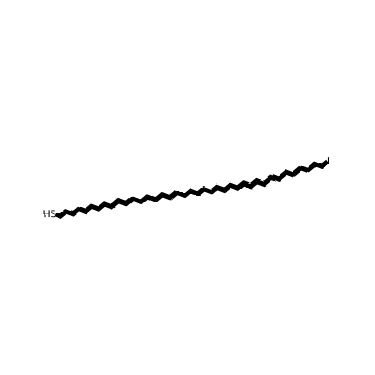 SCCCCCCCCCCCCCCCCCCCCCCCCCCCCCCCCCCCCCCCI